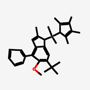 COc1c(C(C)(C)C)cc2c(c1-c1ccccc1)C=C(C)C2[Si](C)(C)C1C(C)=C(C)C(C)=C1C